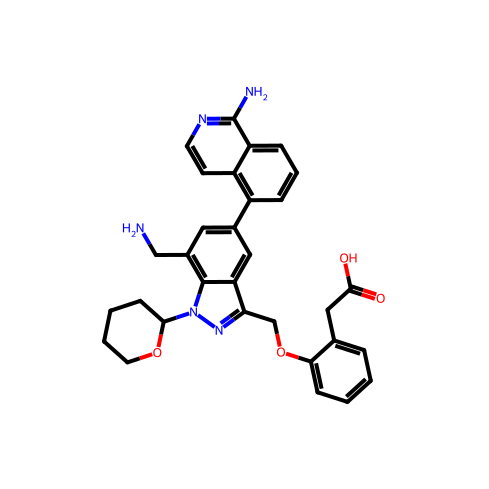 NCc1cc(-c2cccc3c(N)nccc23)cc2c(COc3ccccc3CC(=O)O)nn(C3CCCCO3)c12